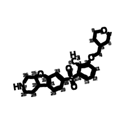 Cc1c(OCC2CCOCC2)cccc1S(=O)(=O)c1ccc2c(c1)OC1CNCCC21